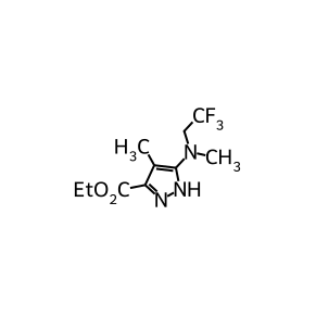 CCOC(=O)c1n[nH]c(N(C)CC(F)(F)F)c1C